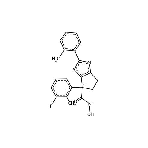 Cc1ccccc1-c1nc2c(s1)[C@](C(=O)NO)(c1cccc(F)c1C)CC2